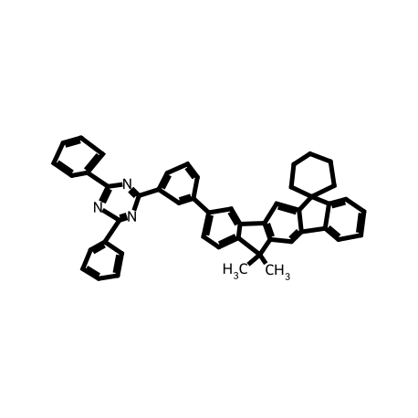 CC1(C)c2ccc(-c3cccc(-c4nc(-c5ccccc5)nc(-c5ccccc5)n4)c3)cc2-c2cc3c(cc21)-c1ccccc1C31CCCCC1